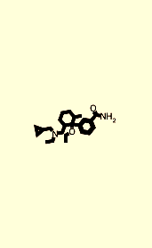 CCOC1(c2cccc(C(N)=O)c2)C(C)CCCC1CN(CC)CC1CC1